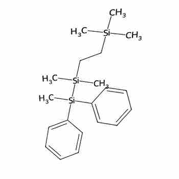 C[Si](C)(C)CC[Si](C)(C)[Si](C)(c1ccccc1)c1ccccc1